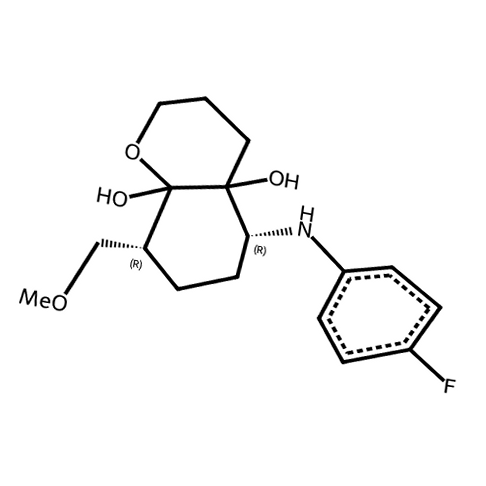 COC[C@H]1CC[C@@H](Nc2ccc(F)cc2)C2(O)CCCOC12O